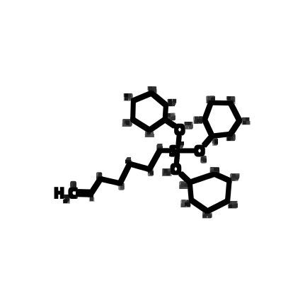 C=CCCCCC[Si](OC1CCCCC1)(OC1CCCCC1)OC1CCCCC1